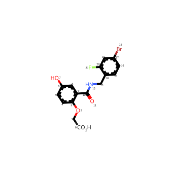 O=C(O)COc1ccc(O)cc1C(=O)NCc1ccc(Br)cc1F